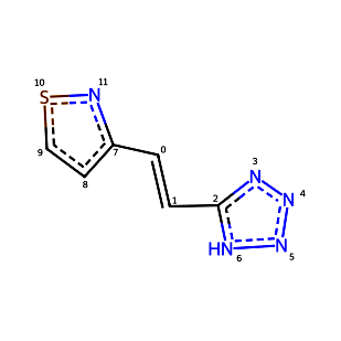 C(=Cc1nnn[nH]1)c1ccsn1